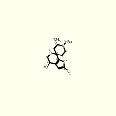 CCCCN1CC[C@]2(C[C@@H]1C)OC[C@H](O)c1cc(Cl)sc12